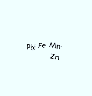 [Fe].[Mn].[Pb].[Zn]